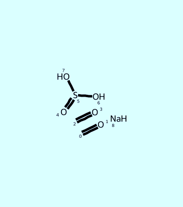 C=O.C=O.O=S(O)O.[NaH]